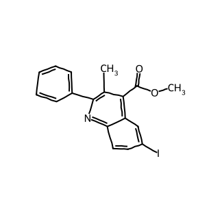 COC(=O)c1c(C)c(-c2ccccc2)nc2ccc(I)cc12